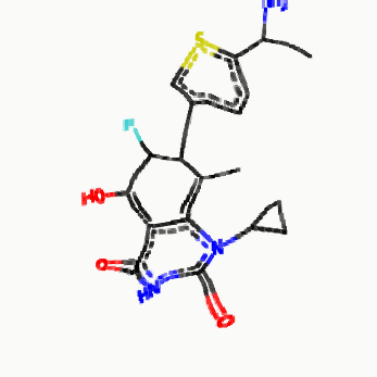 CC1=c2c(c(=O)[nH]c(=O)n2C2CC2)=C(O)C(F)C1c1csc(C(C)N)c1